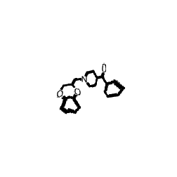 O=C(c1ccccc1)C1CCN(CC2COc3ccccc3O2)CC1